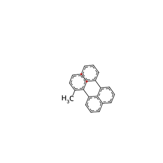 Cc1ccccc1-c1cccc2cccc(-c3ccccc3)c12